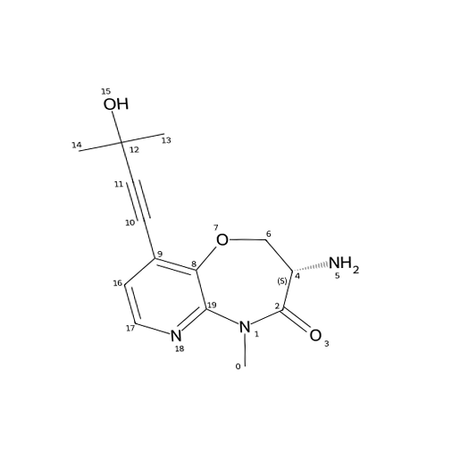 CN1C(=O)[C@@H](N)COc2c(C#CC(C)(C)O)ccnc21